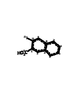 O=C(O)c1cc2ccccc2cc1I